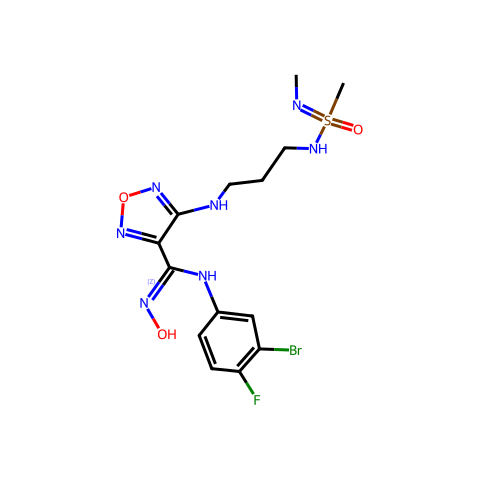 CN=S(C)(=O)NCCCNc1nonc1/C(=N/O)Nc1ccc(F)c(Br)c1